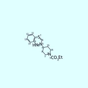 CCOC(=O)N1CCC(N(C=S)Nc2ccccc2)CC1